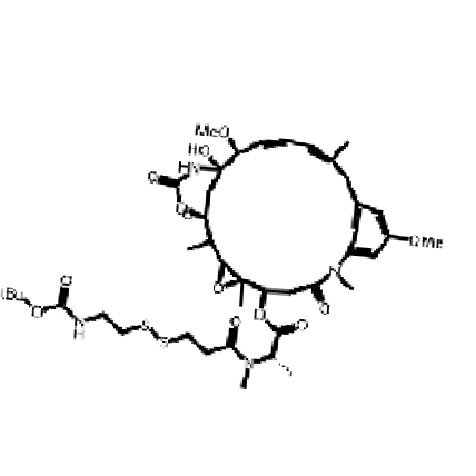 COc1cc2cc(c1)N(C)C(=O)CC(OC(=O)[C@H](C)N(C)C(=O)CCSSCCNC(=O)OC(C)(C)C)C1(C)OC1C(C)C1(Cl)CC(O)(NC(=O)O1)C(OC)C=CC=C(C)C2